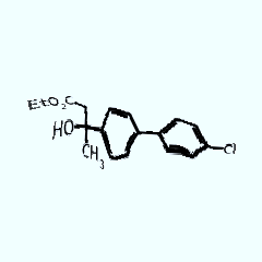 CCOC(=O)CC(C)(O)c1ccc(-c2ccc(Cl)cc2)cc1